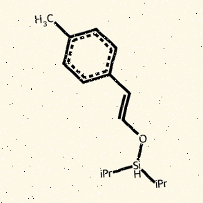 Cc1ccc(C=CO[SiH](C(C)C)C(C)C)cc1